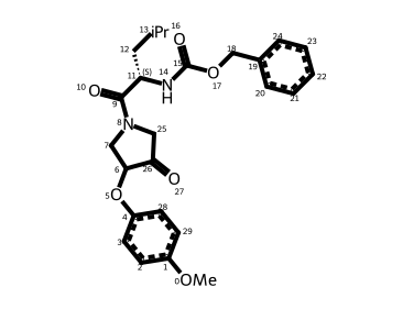 COc1ccc(OC2CN(C(=O)[C@H](CC(C)C)NC(=O)OCc3ccccc3)CC2=O)cc1